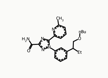 CCCCOCC(CC)c1cccc(-n2nc(C(N)=O)nc2-c2cccc(C)n2)c1